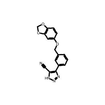 N#Cc1[nH]nnc1-c1cccc(COc2ccc3c(c2)OCO3)c1